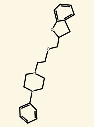 c1ccc(N2CCN(CCOCC3Cc4ccccc4O3)CC2)cc1